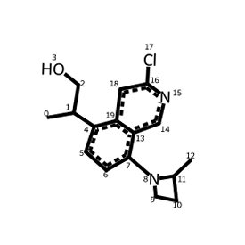 CC(CO)c1ccc(N2CCC2C)c2cnc(Cl)cc12